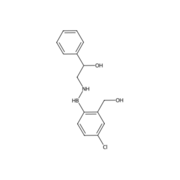 OCc1cc(Cl)ccc1BNCC(O)c1ccccc1